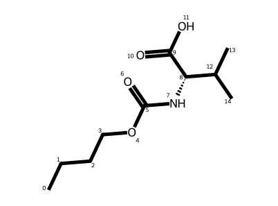 CCCCOC(=O)N[C@H](C(=O)O)C(C)C